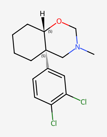 CN1CO[C@H]2CCCC[C@]2(c2ccc(Cl)c(Cl)c2)C1